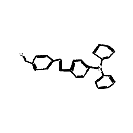 O=Cc1ccc(C=Cc2ccc(N(c3ccccc3)c3ccccc3)cc2)cc1